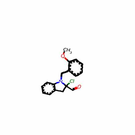 COc1ccccc1CN1c2ccccc2CC1(Cl)C=O